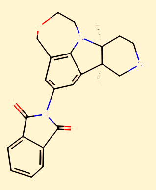 O=C1c2ccccc2C(=O)N1c1cc2c3c(c1)[C@@H]1CNCC[C@@H]1N3CCOC2